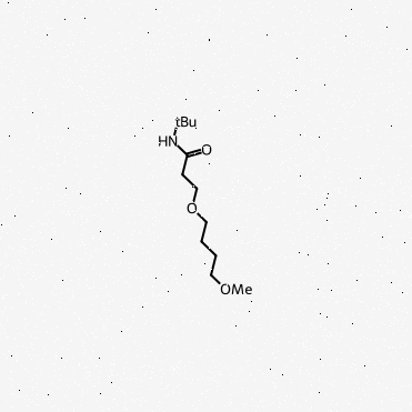 COCCCCOCCC(=O)NC(C)(C)C